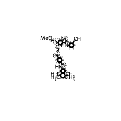 C#Cc1cccc(Nc2ncnc3cc(OCCOC)c(OCCOC(=O)c4ccc(C(=O)Nc5ccc6c(c5)C(C)(C)CCC6(C)C)cc4)cc23)c1